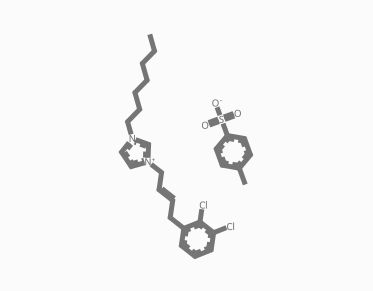 CCCCCCCn1cc[n+](C/C=C/Cc2cccc(Cl)c2Cl)c1.Cc1ccc(S(=O)(=O)[O-])cc1